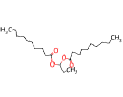 CCCCCCCCCC(=O)OC(CC)OC(=O)CCCCCCCCC